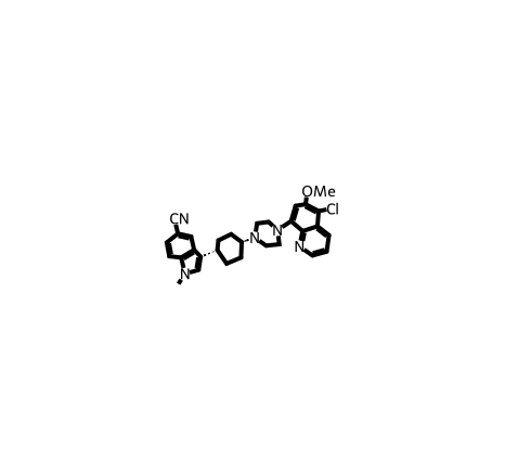 COc1cc(N2CCN([C@H]3CC[C@@H](c4cn(C)c5ccc(C#N)cc54)CC3)CC2)c2ncccc2c1Cl